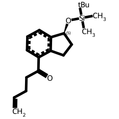 C=CCCC(=O)c1cccc2c1CC[C@@H]2O[Si](C)(C)C(C)(C)C